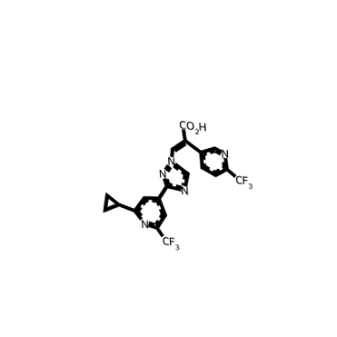 O=C(O)/C(=C/n1cnc(-c2cc(C3CC3)nc(C(F)(F)F)c2)n1)c1ccc(C(F)(F)F)nc1